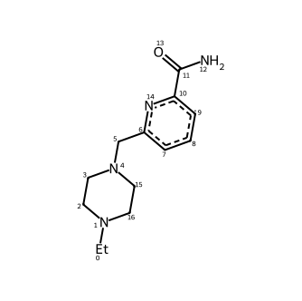 CCN1CCN(Cc2cc[c]c(C(N)=O)n2)CC1